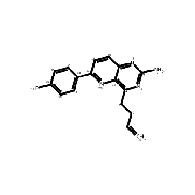 C=CCCc1nc(N)nc2ccc(-c3ccc(F)cc3)nc12